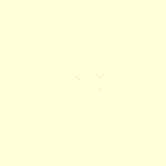 CCOC(=O)CNN(C)C(=O)NCc1cccs1